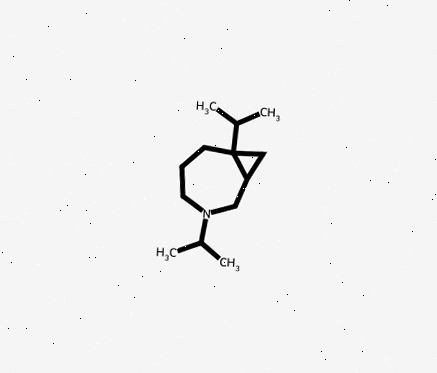 CC(C)N1CCCC2(C(C)C)CC2C1